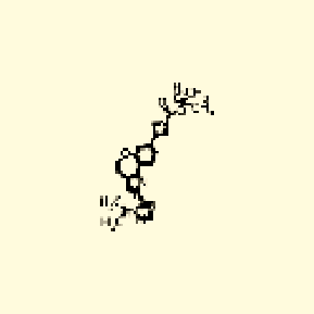 CC(C)n1ncnc1-n1cc2c(n1)-c1ccc(C3CN(C(=O)OC(C)(C)C)C3)cc1OCC2